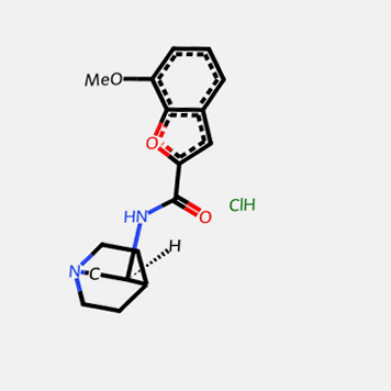 COc1cccc2cc(C(=O)N[C@@H]3CN4CCC3CC4)oc12.Cl